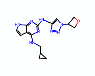 c1cc2c(NCC3CC3)nc(Nc3cn(C4COC4)nn3)nc2[nH]1